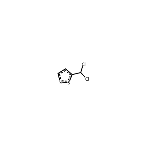 ClC(Cl)c1ccns1